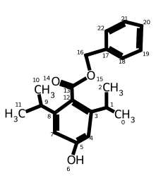 CC(C)c1cc(O)cc(C(C)C)c1C(=O)OCc1ccccc1